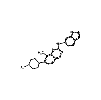 CC(=O)N1CCN(c2ccc3cnc(Nc4ccc5cn[nH]c5c4)nc3c2C)CC1